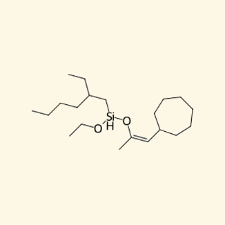 CCCCC(CC)C[SiH](OCC)OC(C)=CC1CCCCCC1